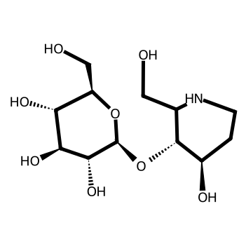 OCC1NCC[C@@H](O)[C@@H]1O[C@@H]1O[C@H](CO)[C@@H](O)[C@H](O)[C@H]1O